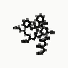 CCCCCCCCCCCCCCC(CCCCCCCCC)CC(=O)O[C@H]1[C@H](OP(=O)(Oc2ccccc2)Oc2ccccc2)[C@@H](CO)OC(O)[C@@H]1NC(=O)C[C@H](O)CCCCCCCCCCC